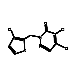 O=c1c(Cl)c(Cl)cnn1Cc1sccc1Cl